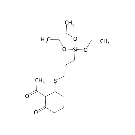 CCO[Si](CCCSC1CCCC(=O)C1C(C)=O)(OCC)OCC